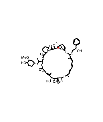 CO[C@@H]1C[C@H](C[C@@H](C)[C@@H]2CC(=O)[C@H](C)/C=C(\C)[C@@H](O)[C@@H](OC)C(=O)[C@H](C)C[C@H](C)/C=C/C=C/C=C(\C)C(OC[C@@H](O)c3ccccc3)C[C@@H]3CC[C@@H](C)[C@@](O)(O3)C(=O)C(=O)N3CCCCC3C(=O)O2)CC[C@H]1O